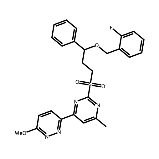 COc1ccc(-c2cc(C)nc(S(=O)(=O)CCC(OCc3ccccc3F)c3ccccc3)n2)nn1